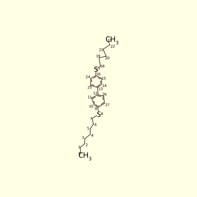 CCCCCCCCSc1ccc(-c2ccc(SCCCCCC)cc2)cc1